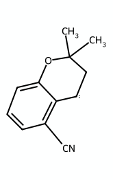 CC1(C)C[C]c2c(C#N)cccc2O1